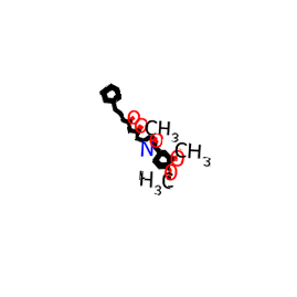 COc1ccc(-c2nc(CC(=O)CC(=O)CCCc3ccccc3)c(C)o2)cc1OC